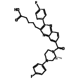 C[C@@H]1CN(c2ccc(F)cc2)CCN1C(=O)c1ccc2nc(-c3ccc(F)cc3)c(CCCCC(=O)O)nc2c1